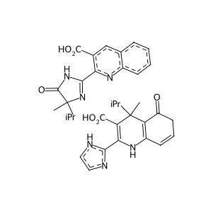 CC(C)C1(C)C2=C(C=CCC2=O)NC(c2ncc[nH]2)=C1C(=O)O.CC(C)C1(C)N=C(c2nc3ccccc3cc2C(=O)O)NC1=O